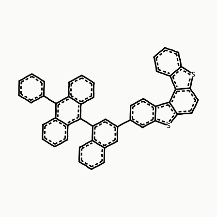 c1ccc(-c2c3ccccc3c(-c3cc(-c4ccc5c(c4)sc4ccc6sc7ccccc7c6c45)cc4ccccc34)c3ccccc23)cc1